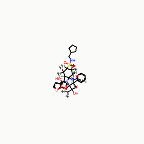 [2H]C([2H])C([2H])(O)C([2H])(N(C(=O)O)C1(NC(C)=O)C([2H])([2H])C([2H])([2H])C([2H])(S(=O)(=O)NCC2CCCC2)C([2H])([2H])[C@]1([2H])c1coc2occc12)C([2H])([2H])c1ccccc1